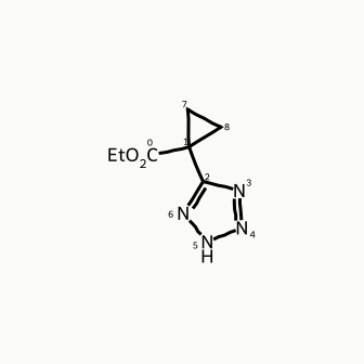 CCOC(=O)C1(c2nn[nH]n2)CC1